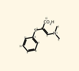 CN(C)C=C(Sc1ccccc1)C(=O)O